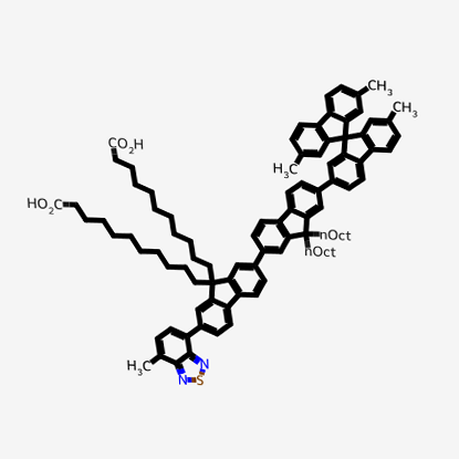 CCCCCCCCC1(CCCCCCCC)c2cc(-c3ccc4c(c3)C(CCCCCCCCCCC(=O)O)(CCCCCCCCCCC(=O)O)c3cc(-c5ccc(C)c6nsnc56)ccc3-4)ccc2-c2ccc(-c3ccc4c(c3)C3(c5cc(C)ccc5-c5ccc(C)cc53)c3cc(C)ccc3-4)cc21